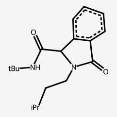 CC(C)CCN1C(=O)c2ccccc2C1C(=O)NC(C)(C)C